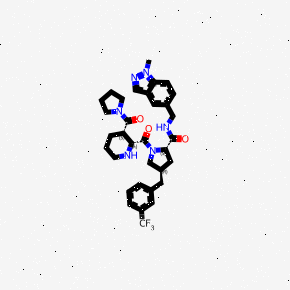 Cn1ncc2cc(CNC(=O)[C@@H]3C[C@@H](Cc4cccc(C(F)(F)F)c4)CN3C(=O)[C@@H]3NCCC[C@@H]3C(=O)N3CCCC3)ccc21